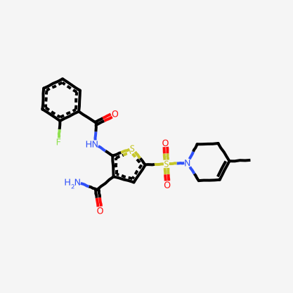 CC1=CCN(S(=O)(=O)c2cc(C(N)=O)c(NC(=O)c3ccccc3F)s2)CC1